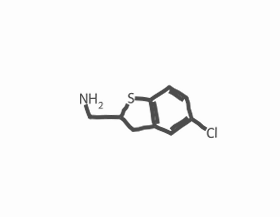 NCC1Cc2cc(Cl)ccc2S1